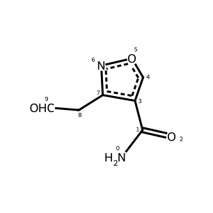 NC(=O)c1conc1CC=O